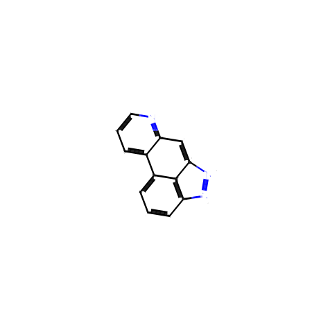 c1cnc2cc3c4c(cccc4c2c1)N=N3